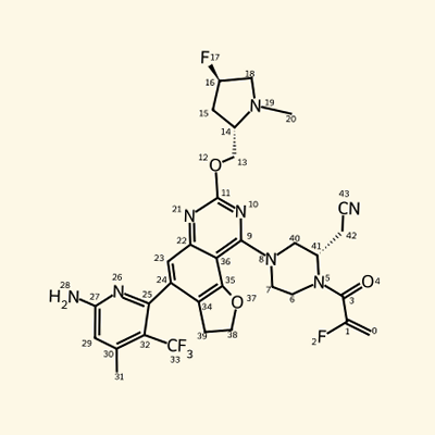 C=C(F)C(=O)N1CCN(c2nc(OC[C@@H]3C[C@@H](F)CN3C)nc3cc(-c4nc(N)cc(C)c4C(F)(F)F)c4c(c23)OCC4)C[C@@H]1CC#N